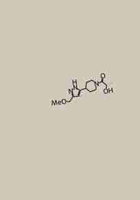 COCc1[c]c(C2CCN(C(=O)[C@H](C)O)CC2)[nH]n1